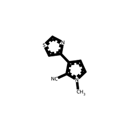 Cn1ccc(-c2cscn2)c1C#N